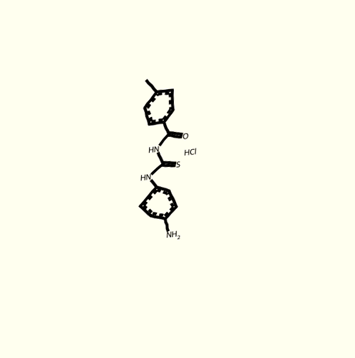 Cc1ccc(C(=O)NC(=S)Nc2ccc(N)cc2)cc1.Cl